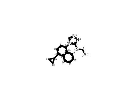 CC(=O)CSc1nncn1-c1ccc(C2CC2)c2ccccc12